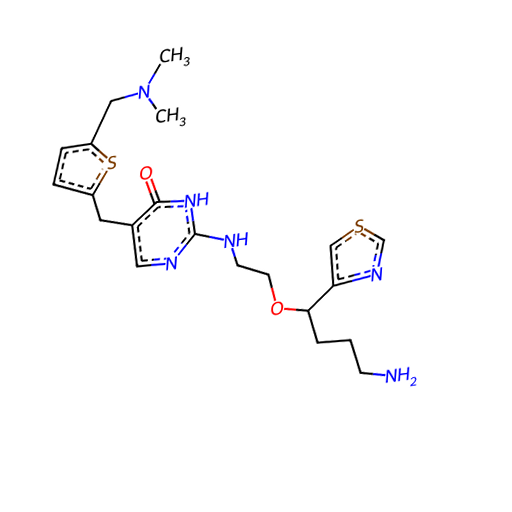 CN(C)Cc1ccc(Cc2cnc(NCCOC(CCCN)c3cscn3)[nH]c2=O)s1